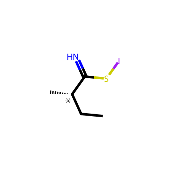 CC[C@H](C)C(=N)SI